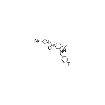 Cc1nn(Cc2ccc(F)cc2)c2c1CCN(C(=O)CN1CC(C#N)C1)C2